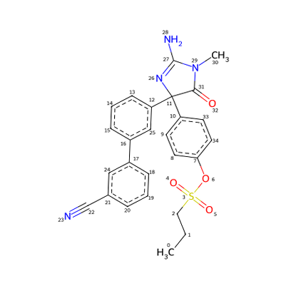 CCCS(=O)(=O)Oc1ccc(C2(c3cccc(-c4cccc(C#N)c4)c3)N=C(N)N(C)C2=O)cc1